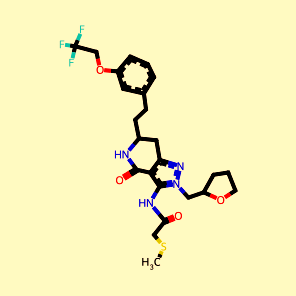 CSCC(=O)Nc1c2c(nn1CC1CCCO1)CC(CCc1cccc(OCC(F)(F)F)c1)NC2=O